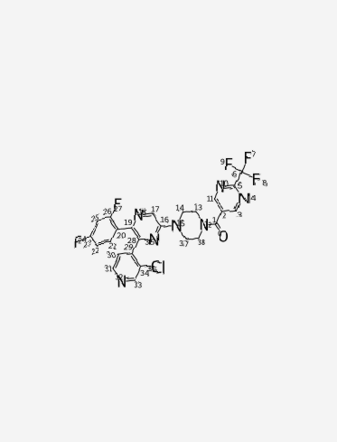 O=C(c1cnc(C(F)(F)F)nc1)N1CCN(c2cnc(-c3ccc(F)cc3F)c(-c3ccncc3Cl)n2)CC1